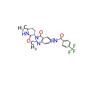 C=C1CCC(n2c(C)nc3ccc(CNC(=O)c4ccc(C(F)(F)F)cc4)cc3c2=O)C(=O)N1